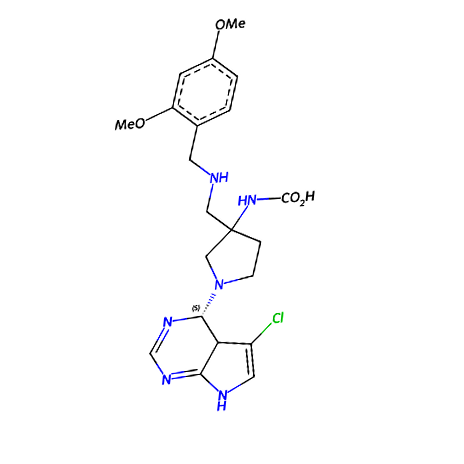 COc1ccc(CNCC2(NC(=O)O)CCN([C@H]3N=CN=C4NC=C(Cl)C43)C2)c(OC)c1